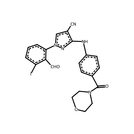 N#Cc1cn(-c2cccc(I)c2C=O)nc1Nc1ccc(C(=O)N2CCOCC2)cc1